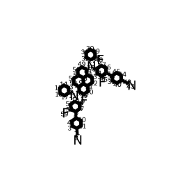 N#Cc1ccc(-c2cc(F)c(N(c3ccccc3)c3ccc4ccc5c(N(c6ccccc6)c6cc(F)c(-c7ccc(C#N)cc7)cc6F)ccc6ccc3c4c65)cc2F)cc1